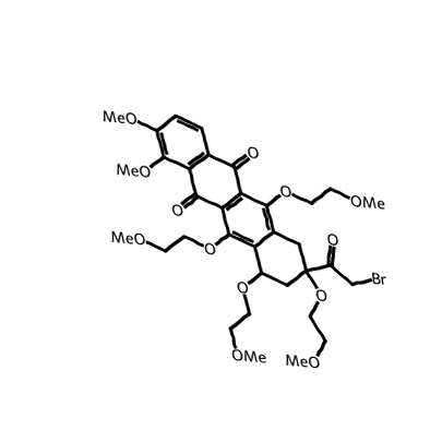 COCCOc1c2c(c(OCCOC)c3c1C(=O)c1ccc(OC)c(OC)c1C3=O)C(OCCOC)CC(OCCOC)(C(=O)CBr)C2